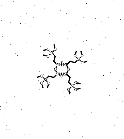 CO[Si](CC[SiH]1O[SiH](CC[Si](OC)(OC)OC)O[SiH](CC[Si](OC)(OC)OC)O[SiH](CC[Si](OC)(OC)OC)O1)(OC)OC